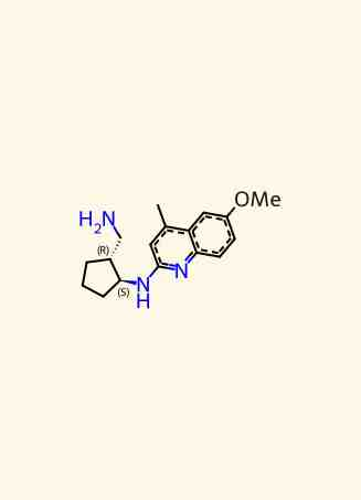 COc1ccc2nc(N[C@H]3CCC[C@@H]3CN)cc(C)c2c1